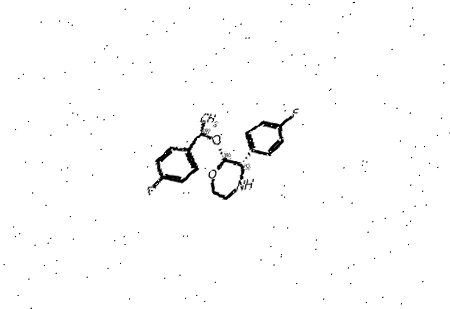 C[C@@H](O[C@H]1OCCN[C@H]1c1ccc(F)cc1)c1ccc(F)cc1